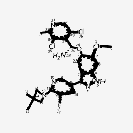 COc1cc2[nH]nc(-c3cnc(N4CC(C)(C)C4)c(F)c3)c2cc1O[C@H](N)c1c(Cl)cnc(C)c1Cl